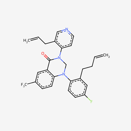 C=CCCc1cc(F)ccc1N1CN(c2ccncc2CC=C)C(=O)c2cc(C(F)(F)F)ccc21